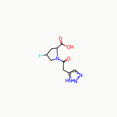 O=C(O)C1CC(F)CN1C(=O)Cc1cnn[nH]1